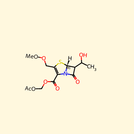 COOCC1=C(C(=O)OCOC(C)=O)N2C(=O)C(C(C)O)[C@H]2S1